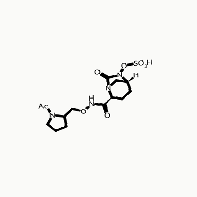 CC(=O)N1CCCC1CONC(=O)[C@@H]1CC[C@@H]2CN1C(=O)N2OS(=O)(=O)O